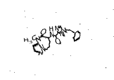 CN1C(=O)C(NC(=O)c2ncn(Cc3ccccc3)n2)CCCn2nccc21